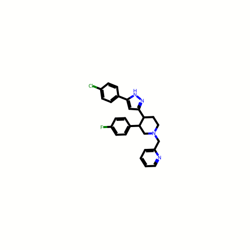 Fc1ccc(C2CN(Cc3ccccn3)CCC2c2cc(-c3ccc(Cl)cc3)[nH]n2)cc1